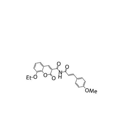 CCOc1cccc2cc(C(=O)NC(=O)C=Cc3ccc(OC)cc3)c(=O)oc12